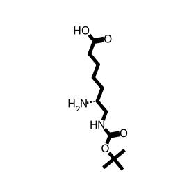 CC(C)(C)OC(=O)NC[C@H](N)CCCCC(=O)O